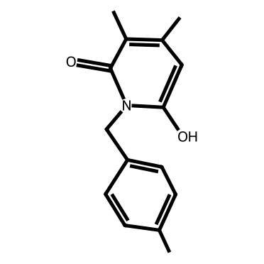 Cc1ccc(Cn2c(O)cc(C)c(C)c2=O)cc1